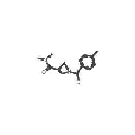 Cc1ccc(C(=O)N2CC(C(=O)N(C)C)C2)cc1